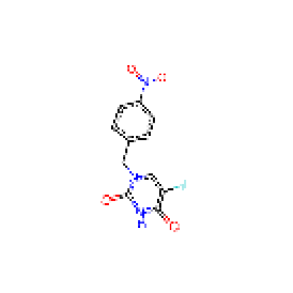 O=c1[nH]c(=O)n(Cc2ccc([N+](=O)[O-])cc2)cc1F